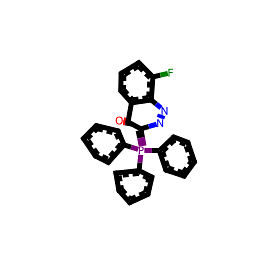 O=C1C(=P(c2ccccc2)(c2ccccc2)c2ccccc2)N=Nc2c(F)cccc21